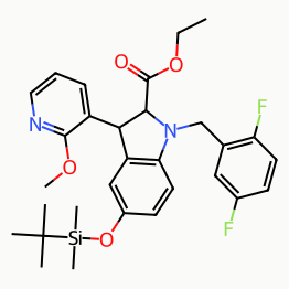 CCOC(=O)C1C(c2cccnc2OC)c2cc(O[Si](C)(C)C(C)(C)C)ccc2N1Cc1cc(F)ccc1F